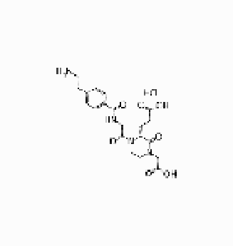 Cl.NCCc1ccc(C(=O)NCC(=O)N2CCN(CC(=O)O)C(=O)[C@@H]2CCC(=O)O)cc1